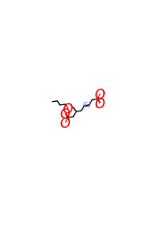 CCCCOCC(C/C=C/CC(=O)OC)CC(=O)OC